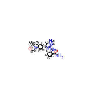 COc1cc(-c2cc3nccn3c(Nc3ccccc3C(N)=O)n2)ccc1N1CCOCC1